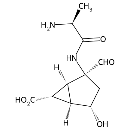 C[C@H](N)C(=O)N[C@@]1(C=O)C[C@H](O)[C@H]2[C@H](C(=O)O)[C@H]21